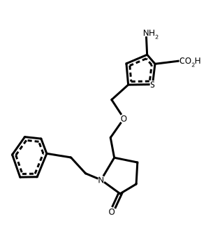 Nc1cc(COCC2CCC(=O)N2CCc2ccccc2)sc1C(=O)O